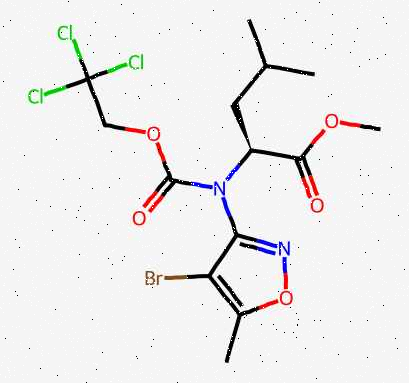 COC(=O)[C@H](CC(C)C)N(C(=O)OCC(Cl)(Cl)Cl)c1noc(C)c1Br